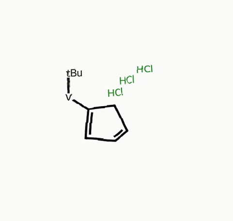 C[C](C)(C)[V][C]1=CC=CC1.Cl.Cl.Cl